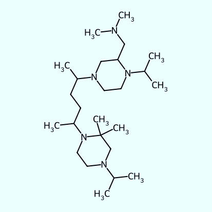 CC(C)N1CCN(C(C)CCC(C)N2CCN(C(C)C)C(CN(C)C)C2)C(C)(C)C1